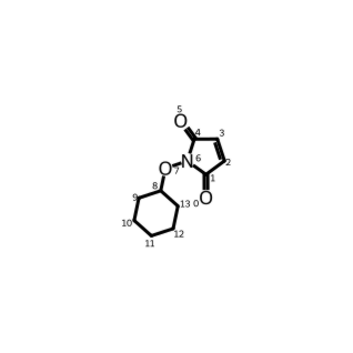 O=C1C=CC(=O)N1OC1CCCCC1